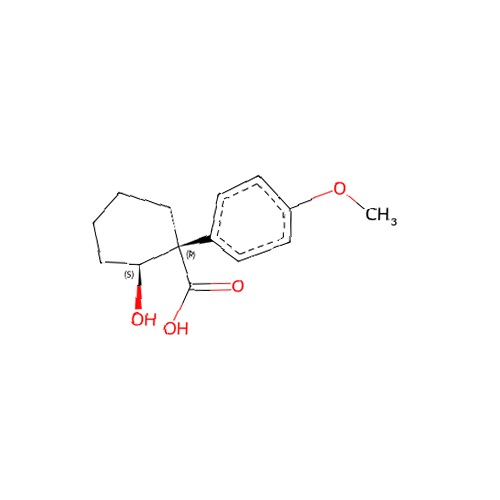 COc1ccc([C@]2(C(=O)O)CCCC[C@@H]2O)cc1